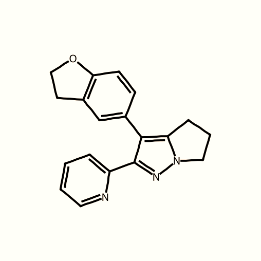 c1ccc(-c2nn3c(c2-c2ccc4c(c2)CCO4)CCC3)nc1